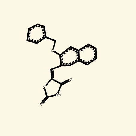 O=C1NC(=S)SC1=Cc1cc2ccccc2cc1OCc1ccccc1